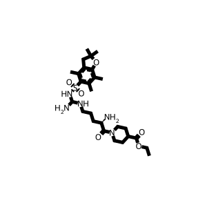 CCOC(=O)C1CCN(C(=O)[C@@H](N)CCCNC(N)NS(=O)(=O)c2c(C)c(C)c3c(c2C)CC(C)(C)O3)CC1